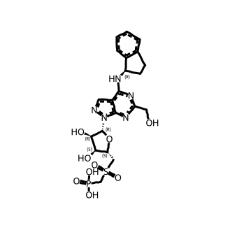 O=P(O)(O)CS(=O)(=O)C[C@H]1O[C@@H](n2ncc3c(N[C@@H]4CCc5ccccc54)nc(CO)nc32)[C@H](O)[C@@H]1O